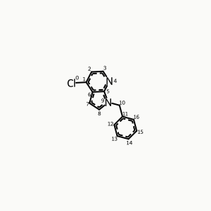 Clc1ccnc2c1ccn2Cc1ccccc1